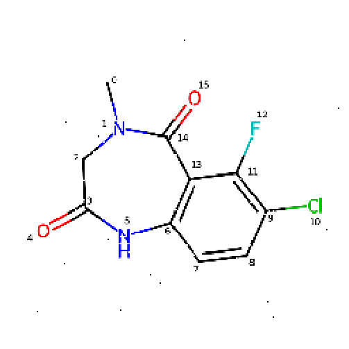 CN1CC(=O)Nc2ccc(Cl)c(F)c2C1=O